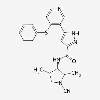 CC1CN(C#N)C(C)[C@@H]1NC(=O)c1cc(-c2cnccc2Sc2ccccc2)[nH]n1